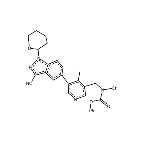 CCN(Cc1cncc(-c2ccc3c(c2)c(C#N)nn3C2CCCCO2)c1C)C(=O)OC(C)(C)C